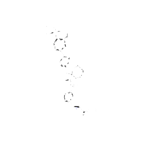 CS(=O)(=O)c1ccc(-c2ccc(CC3(C(=O)Nc4cccc(/C=C/C(=O)O)c4)CCCCC3)cc2)cc1F